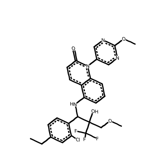 CCc1ccc(C(Nc2cccc3c2ccc(=O)n3-c2cnc(OC)nc2)C(O)(COC)C(F)(F)F)c(Cl)c1